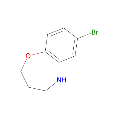 Brc1ccc2c(c1)NCCCO2